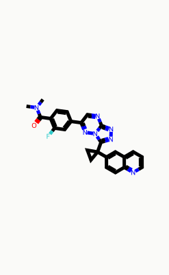 CN(C)C(=O)c1ccc(-c2cnc3nnc(C4(c5ccc6ncccc6c5)CC4)n3n2)cc1F